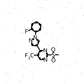 CS(=O)(=O)c1ncc(C(F)(F)F)c(-c2cnn(-c3ccccc3F)c2)n1